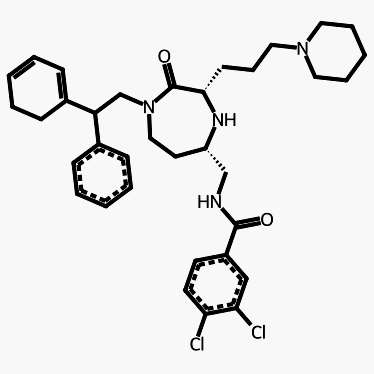 O=C(NC[C@@H]1CCN(CC(C2=CC=CCC2)c2ccccc2)C(=O)[C@H](CCCN2CCCCC2)N1)c1ccc(Cl)c(Cl)c1